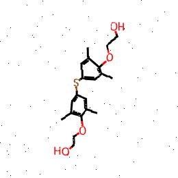 Cc1cc(Sc2cc(C)c(OCCO)c(C)c2)cc(C)c1OCCO